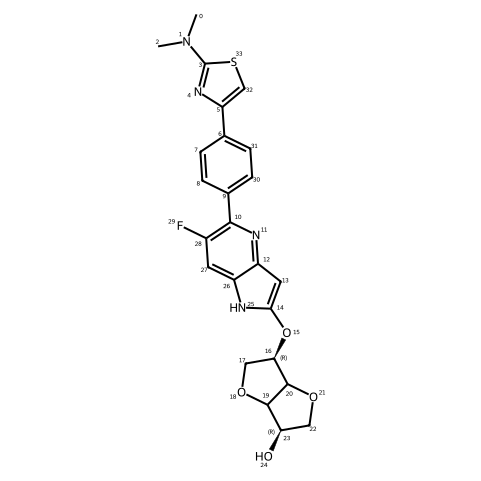 CN(C)c1nc(-c2ccc(-c3nc4cc(O[C@@H]5COC6C5OC[C@H]6O)[nH]c4cc3F)cc2)cs1